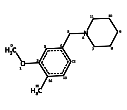 COc1cc(CN2CCCCC2)ccc1C